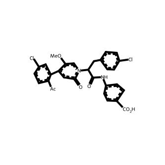 COc1cn(C(Cc2ccc(Cl)cc2)C(=O)Nc2ccc(C(=O)O)cc2)c(=O)cc1-c1cc(Cl)ccc1C(C)=O